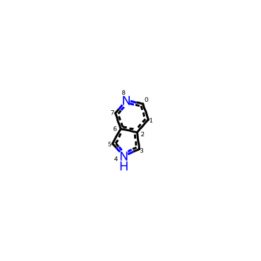 c1cc2c[nH]cc2cn1